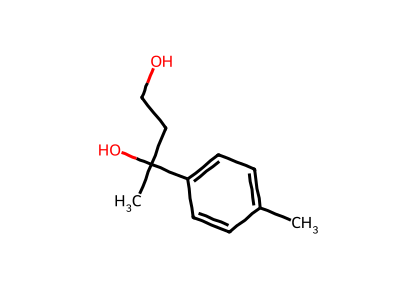 Cc1ccc(C(C)(O)CCO)cc1